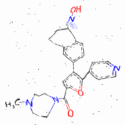 CN1CCN(C(=O)c2cc(-c3ccc4c(c3)CC/C4=N\O)c(-c3ccncc3)o2)CC1